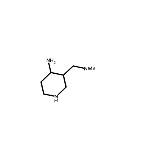 CNCC1CNCCC1N